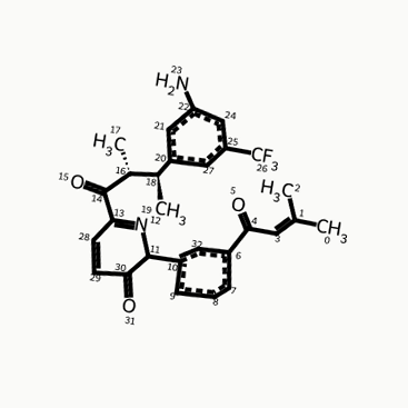 CC(C)=CC(=O)c1cccc(C2N=C(C(=O)[C@H](C)[C@H](C)c3cc(N)cc(C(F)(F)F)c3)C=CC2=O)c1